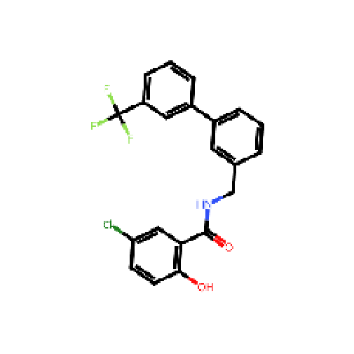 O=C(NCc1cccc(-c2cccc(C(F)(F)F)c2)c1)c1cc(Cl)ccc1O